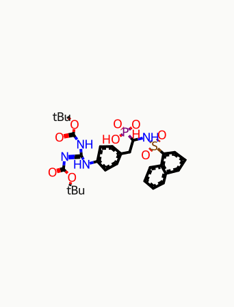 CC(C)(C)OC(=O)N=C(NC(=O)OC(C)(C)C)Nc1ccc(CC(NS(=O)(=O)c2cccc3ccccc23)P(=O)(O)O)cc1